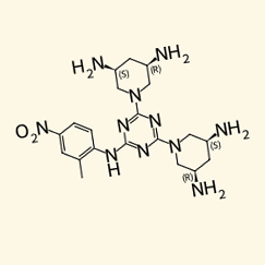 Cc1cc([N+](=O)[O-])ccc1Nc1nc(N2C[C@H](N)C[C@H](N)C2)nc(N2C[C@H](N)C[C@H](N)C2)n1